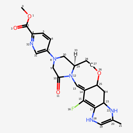 COC(=O)c1ccc(N2CC(=O)N3C=C4C(F)=C5NC=C(C)NC5CC4OCC[C@@H]3C2)cn1